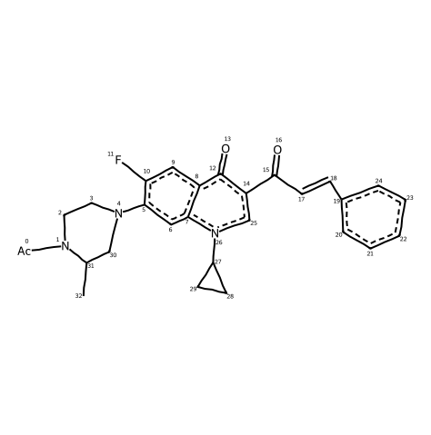 CC(=O)N1CCN(c2cc3c(cc2F)c(=O)c(C(=O)C=Cc2ccccc2)cn3C2CC2)CC1C